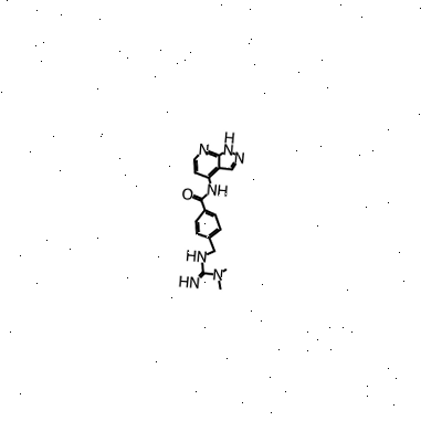 CN(C)C(=N)NCc1ccc(C(=O)Nc2ccnc3[nH]ncc23)cc1